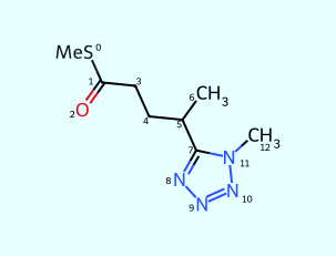 CSC(=O)CCC(C)c1nnnn1C